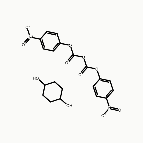 O=C(OC(=O)Oc1ccc([N+](=O)[O-])cc1)Oc1ccc([N+](=O)[O-])cc1.OC1CCC(O)CC1